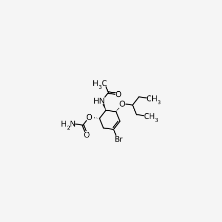 CCC(CC)O[C@@H]1C=C(Br)C[C@H](OC(N)=O)[C@H]1NC(C)=O